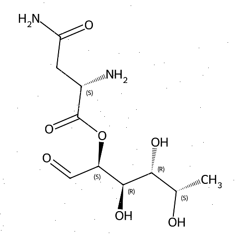 C[C@H](O)[C@@H](O)[C@@H](O)[C@@H](C=O)OC(=O)[C@@H](N)CC(N)=O